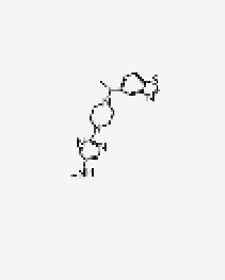 CNc1cnc(N2CCN([C@@H](C)c3ccc4scnc4c3)CC2)nc1